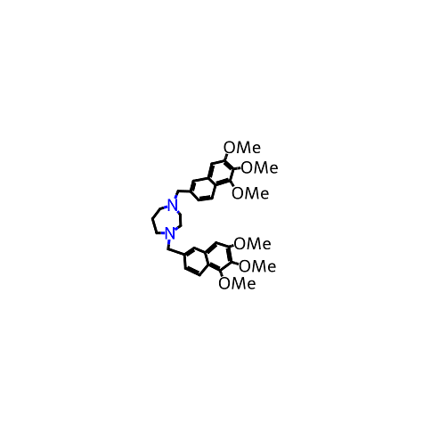 COc1cc2cc(CN3CCCN(Cc4ccc5c(OC)c(OC)c(OC)cc5c4)CC3)ccc2c(OC)c1OC